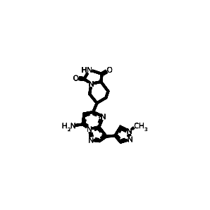 Cn1cc(-c2cnn3c(N)cc(C4CCC5C(=O)NC(=O)N5C4)nc23)cn1